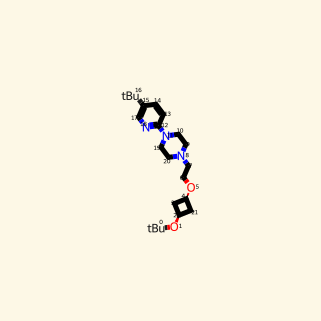 CC(C)(C)O[C@H]1C[C@H](OCCN2CCN(c3ccc(C(C)(C)C)cn3)CC2)C1